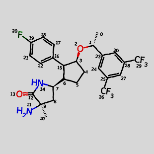 C[C@@H](O[C@H]1CCC([C@H]2C[C@@](C)(N)C(=O)N2)C1c1ccc(F)cc1)c1cc(C(F)(F)F)cc(C(F)(F)F)c1